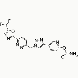 NC(=O)Oc1ccc(-c2cn(Cc3ccc(-c4nnc(C(F)F)o4)nn3)nn2)cn1